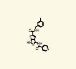 Cc1cccc(CNC(=O)c2cc3c(NC(=O)c4ccncc4)n[nH]c3s2)c1